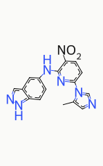 Cc1cncn1-c1ccc([N+](=O)[O-])c(Nc2ccc3[nH]ncc3c2)n1